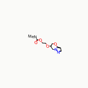 CNC(=O)OCCO[C@@H]1COc2ccnn2C1